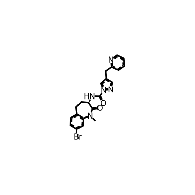 CN1C(=O)[C@H](NC(=O)n2cc(Cc3ccccn3)cn2)CCc2ccc(Br)cc21